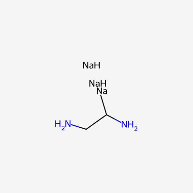 NC[CH](N)[Na].[NaH].[NaH]